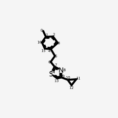 Cc1ccc(CCc2nc(C3CC3)cs2)cc1